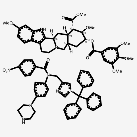 COC(=O)[C@H]1[C@H]2C[C@@H]3c4[nH]c5cc(OC)ccc5c4CCN3C[C@H]2C[C@@H](OC(=O)c2cc(OC)c(OC)c(OC)c2)[C@@H]1OC.O=C(c1ccc([N+](=O)[O-])cc1)N(Cc1cn(C(c2ccccc2)(c2ccccc2)c2ccccc2)cn1)c1ccc(N2CCNCC2)cc1